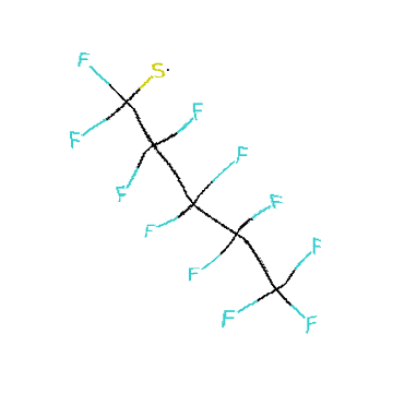 FC(F)(F)C(F)(F)C(F)(F)C(F)(F)C(F)(F)[S]